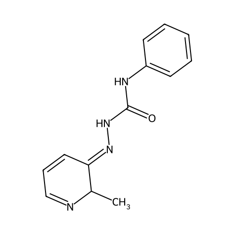 CC1N=CC=CC1=NNC(=O)Nc1ccccc1